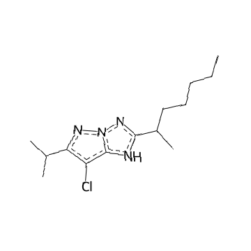 CCCCCC(C)c1nn2nc(C(C)C)c(Cl)c2[nH]1